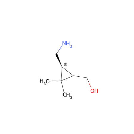 CC1(C)C(CO)[C@@H]1CN